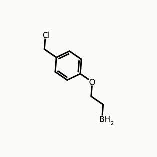 BCCOc1ccc(CCl)cc1